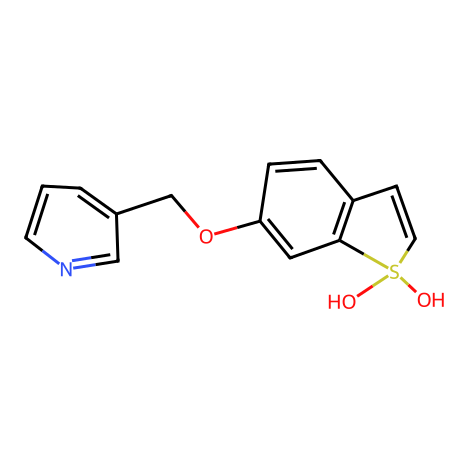 OS1(O)C=Cc2ccc(OCc3cccnc3)cc21